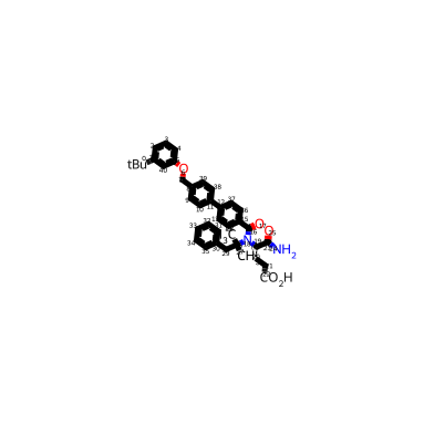 CC(C)(C)c1cccc(OCc2ccc(-c3ccc(C(=O)N([C@@H](CCC(=O)O)C(N)=O)C(C)(C)Cc4ccccc4)cc3)cc2)c1